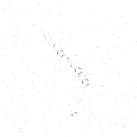 C=CC(=O)OCCCCCCOc1ccc(C(OO)c2ccc(/C=N/N=C/c3ccc(OC(=O)C4COC5C(OC)COC45)cc3)cc2F)cc1